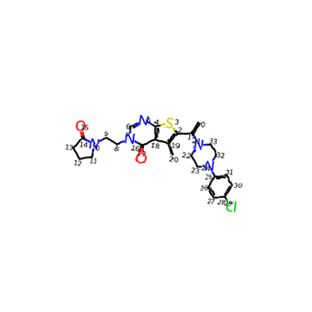 C=C(c1sc2ncn(CCN3CCCC3=O)c(=O)c2c1C)N1CCN(c2ccc(Cl)cc2)CC1